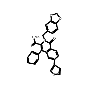 COC(=O)c1c(-c2ccccc2)c2cc(-c3ccsc3)ccc2c(=O)n1Cc1ccc2c(c1)OCO2